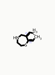 C/C=C1/CNCCS/C1=C/C